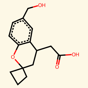 O=C(O)CC1CC2(CCC2)Oc2ccc(CO)cc21